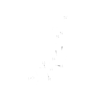 CC[C@@]1(O)CC[C@H]2[C@H](CC[C@@H]3[C@@H]2CC[C@]2(C)[C@@H](C(C)Cn4ccc(C#[N+]C)n4)CC[C@@H]32)C1